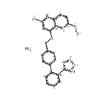 CCc1cc(OCc2ccc(-c3ccccc3-c3nnn[nH]3)cc2)c2nc(OC(C)C)ccc2n1.Cl